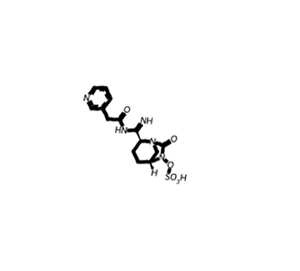 N=C(NC(=O)Cc1cccnc1)[C@@H]1CC[C@@H]2CN1C(=O)N2OS(=O)(=O)O